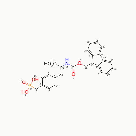 O=C(NC(Cc1ccc(CP(=O)(O)O)cc1)C(=O)O)OCC1c2ccccc2-c2ccccc21